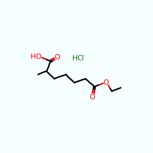 CCOC(=O)CCCCC(C)C(=O)O.Cl